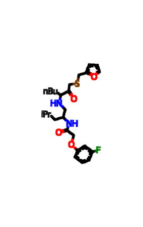 CCCCC(NCC(CC(C)C)NC(=O)COc1cccc(F)c1)C(=O)CSCc1ccco1